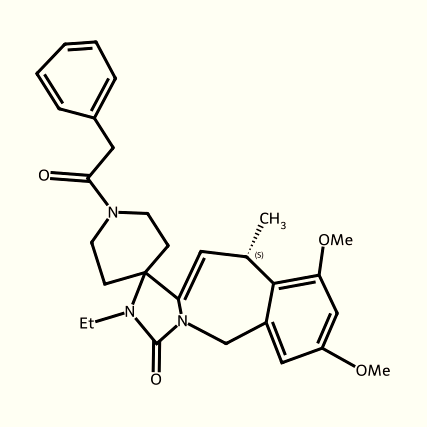 CCN1C(=O)N2Cc3cc(OC)cc(OC)c3[C@@H](C)C=C2C12CCN(C(=O)Cc1ccccc1)CC2